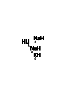 [KH].[LiH].[NaH].[NaH]